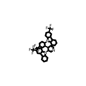 FC(F)(F)c1ccc(-n2c3ccccc3c3cc(C(F)(F)F)ccc32)c(-c2ccncc2-n2c3ccccc3c3cc(C(F)(F)F)ccc32)c1